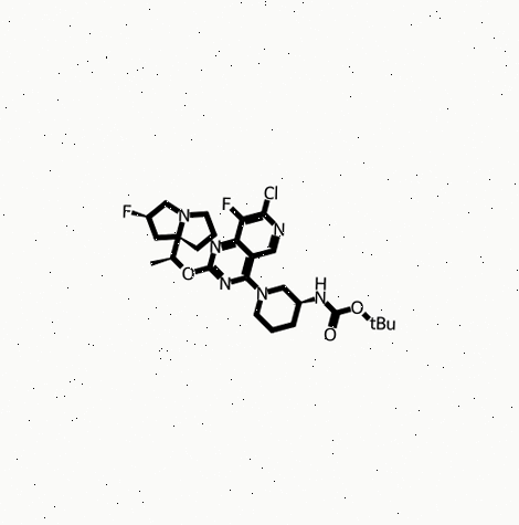 C[C@H](Oc1nc(N2CCC[C@H](NC(=O)OC(C)(C)C)C2)c2cnc(Cl)c(F)c2n1)[C@@]12CCCN1C[C@H](F)C2